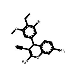 CCc1c(Br)cc(C2C(C#N)=C(N)Oc3cc(N)ccc32)cc1OC